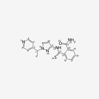 CC(c1ccncc1)n1ccc(NC(=S)c2ccccc2C(N)=O)n1